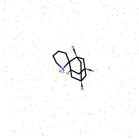 CN1CCCCC12[C@H]1C[C@H]3C[C@H](C1)C[C@H]2C3